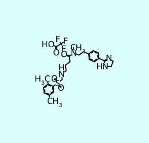 Cc1ccc(C)c(S(=O)(=O)CNCCCC(=O)N(C)CCc2ccc(C3=NCCN3)cc2)c1.O=C(O)C(F)(F)F